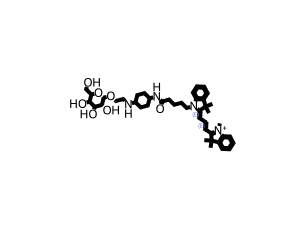 C[N+]1=C(/C=C/C=C2/N(CCCCC(=O)NC3CCC(NCCOC4OC(CO)C(O)C(O)C4O)CC3)c3ccccc3C2(C)C)C(C)(C)c2ccccc21